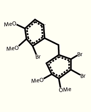 COc1c[c]c(Cc2cc(OC)c(OC)c(Br)c2Br)c(Br)c1OC